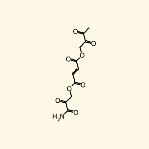 CC(=O)C(=O)COC(=O)/C=C/C(=O)OCC(=O)C(N)=O